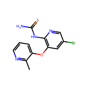 Cc1ncccc1Oc1cc(Br)cnc1NC(N)=S